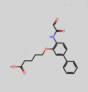 O=CC(=O)Nc1ccc(-c2ccccc2)cc1OCCCCC(=O)O